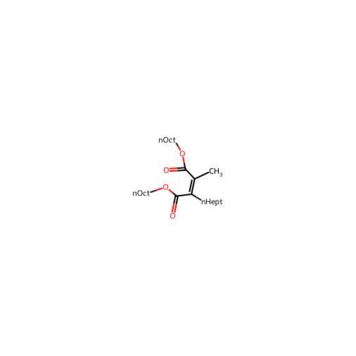 CCCCCCCCOC(=O)/C(C)=C(/CCCCCCC)C(=O)OCCCCCCCC